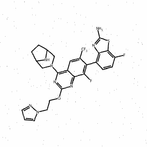 Nc1nc2c(-c3c(C(F)(F)F)cc4c(N5CC6CCC(C5)N6)nc(OCCn5cccn5)nc4c3F)ccc(F)c2s1